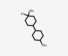 CCCCC1CCC(C2CCC(CC)(CCCC)CC2)CC1